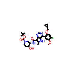 COc1cc(-c2ncnc3c(C(=O)N[C@H]4CN(C(=O)OC(C)(C)C)CC[C@@H]4O)c(C)[nH]c23)c(OCC2CC2)cc1F